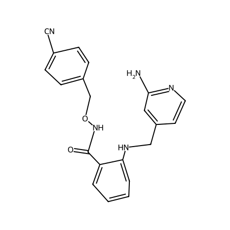 N#Cc1ccc(CONC(=O)c2ccccc2NCc2ccnc(N)c2)cc1